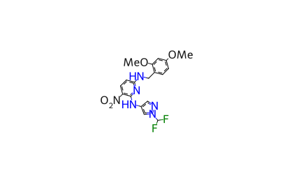 COc1ccc(CNc2ccc([N+](=O)[O-])c(Nc3cnn(C(F)F)c3)n2)c(OC)c1